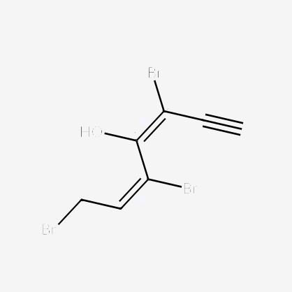 C#C/C(Br)=C(O)\C(Br)=C/CBr